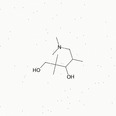 CC(CN(C)C)C(O)C(C)(C)CO